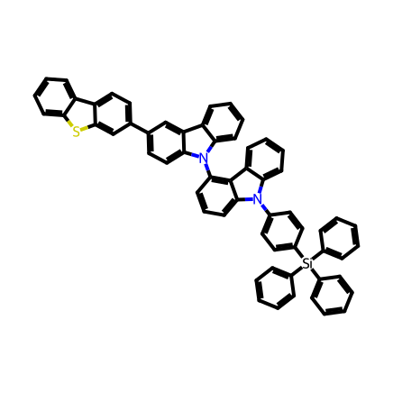 c1ccc([Si](c2ccccc2)(c2ccccc2)c2ccc(-n3c4ccccc4c4c(-n5c6ccccc6c6cc(-c7ccc8c(c7)sc7ccccc78)ccc65)cccc43)cc2)cc1